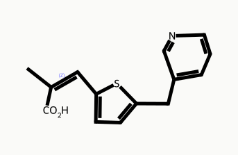 C/C(=C/c1ccc(Cc2cccnc2)s1)C(=O)O